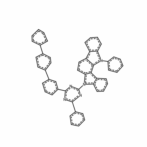 c1ccc(-c2ccc(-c3cccc(-c4nc(-c5ccccc5)nc(-n5c6ccccc6c6c5ccc5c7ccccc7n(-c7ccccc7)c56)n4)c3)cc2)cc1